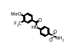 COc1ccc(C(=O)Nc2ccc(S(N)(=O)=O)cc2)cc1C(F)(F)F